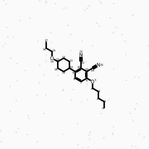 CCCCCOc1ccc(C2CCC(OCCC)CC2)c(C#N)c1C#N